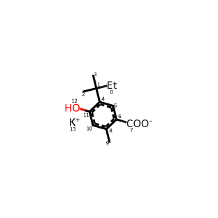 CCC(C)(C)c1cc(C(=O)[O-])c(C)cc1O.[K+]